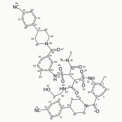 Cc1ccc(C(=O)N2CCC(c3ccc(C#N)cc3)CC2)cc1NS(=O)(=O)C(C(=O)NCCO)C(C(=O)N(C)C)S(=O)(=O)Nc1cc(C(=O)N2CCC(c3ccc(C#N)cc3)CC2)ccc1C